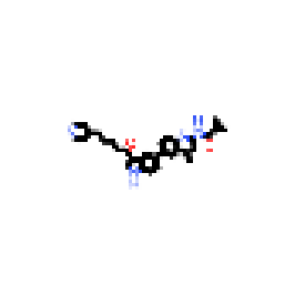 C=C1CC(NC(=O)C2CC2)=Nc2ccc(-c3ccc4[nH]cc(C(=O)CCCCc5ccncc5)c4c3)cc21